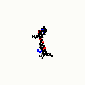 Cc1ccc(Oc2cc(OCCOc3cc4c(cc3C)C(=O)N3CCC[C@H]3C=N4)ccc2N)cc1C